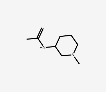 C=C(C)NC1CCCN(C)C1